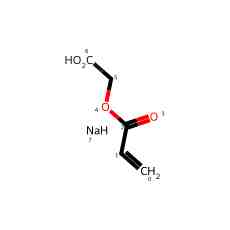 C=CC(=O)OCC(=O)O.[NaH]